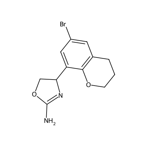 NC1=NC(c2cc(Br)cc3c2OCCC3)CO1